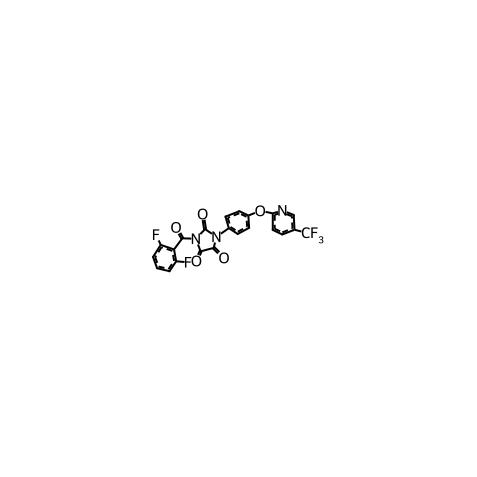 O=C1C(=O)N(c2ccc(Oc3ccc(C(F)(F)F)cn3)cc2)C(=O)N1C(=O)c1c(F)cccc1F